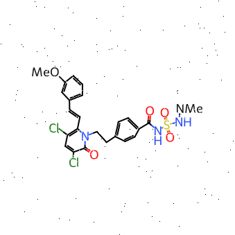 CNNS(=O)(=O)NC(=O)c1ccc(CCn2c(/C=C/c3cccc(OC)c3)c(Cl)cc(Cl)c2=O)cc1